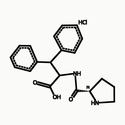 Cl.O=C(O)C(NC(=O)[C@@H]1CCCN1)C(c1ccccc1)c1ccccc1